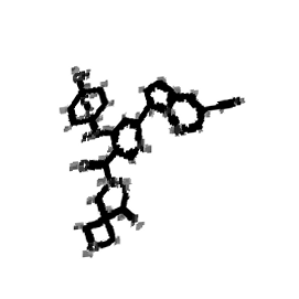 N#Cc1cnn2c(-c3cc(NC45CCC(O)(CC4)CC5)c(C(=O)NCC4(C(F)F)COC4)cn3)ccc2c1